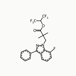 CC(C)(Cn1nc(-c2ccccc2)c2cccc(F)c21)C(=O)OC(C(F)(F)F)C(F)(F)F